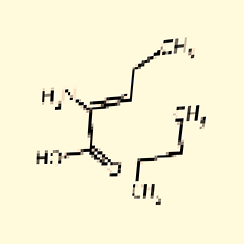 CC/C=C(\N)C(=O)O.CCCC